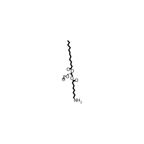 CCCCCCCCCCCCC(=O)O[C@@H](COP=O)COC(=O)CCCCCCCN